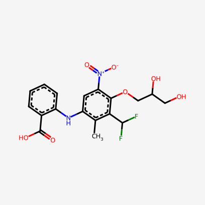 Cc1c(Nc2ccccc2C(=O)O)cc([N+](=O)[O-])c(OCC(O)CO)c1C(F)F